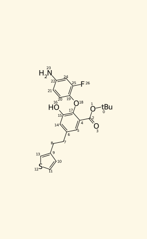 CC(C)(C)OC(=O)c1cc(CCc2ccsc2)cc(O)c1Oc1ccc(N)cc1F